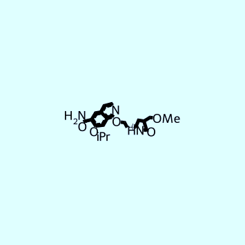 COCC1C[C@@H](CCOc2nccc3cc(C(N)=O)c(OC(C)C)cc23)NC1=O